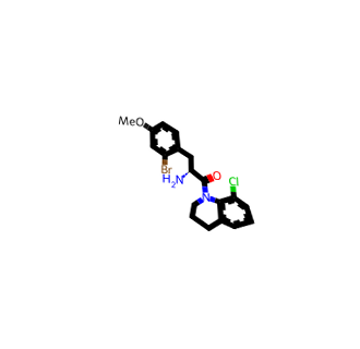 COc1ccc(C[C@@H](N)C(=O)N2CCCc3cccc(Cl)c32)c(Br)c1